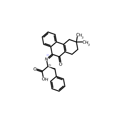 CC1(C)CCC2=C(C1)c1ccccc1/C(=N/[C@@H](Cc1ccccc1)C(=O)O)C2=O